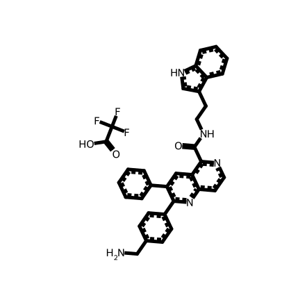 NCc1ccc(-c2nc3ccnc(C(=O)NCCc4c[nH]c5ccccc45)c3cc2-c2ccccc2)cc1.O=C(O)C(F)(F)F